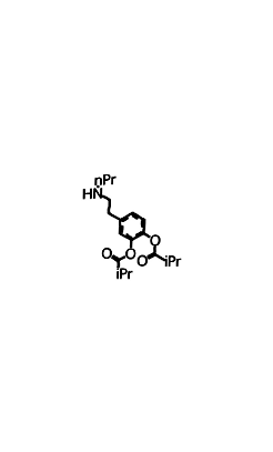 CCCNCCc1ccc(OC(=O)C(C)C)c(OC(=O)C(C)C)c1